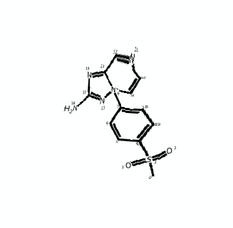 CS(=O)(=O)c1ccc([N+]23C=CN=CC2=NC(N)=N3)cc1